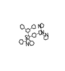 c1ccc(-c2cc(-c3ccccc3)cc(-c3sc4c(-c5ccccc5)nc5ccccc5c4c3-c3ccc(-c4cc(-c5ccccn5)nc(-c5ccccn5)c4)cc3)c2)cc1